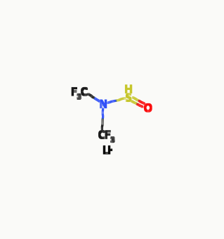 O=[SH]N(C(F)(F)F)C(F)(F)F.[Li]